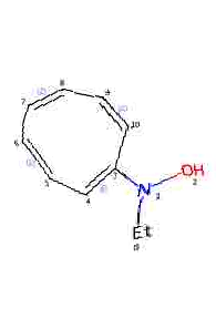 CCN(O)C1=C/C=C\C=C/C=C\1